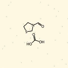 O=C(O)O.O=CN1CCSC1